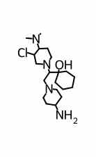 CN(C)C1CCN(C(CN2CCC(N)CC2)C2(O)CCCCC2)CC1Cl